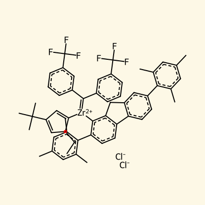 CCC1C=C(C(C)(C)C)C=[C]1[Zr+2](=[C](c1cccc(C(F)(F)F)c1)c1cccc(C(F)(F)F)c1)[c]1c(-c2c(C)cc(C)cc2C)ccc2c1Cc1cc(-c3c(C)cc(C)cc3C)ccc1-2.[Cl-].[Cl-]